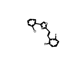 Fc1cccc(F)c1C=Cc1nc(-c2ccccc2Cl)co1